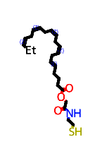 CC/C=C\C/C=C\C/C=C\C/C=C\C/C=C/CCCC(=O)OCC(=O)NCCS